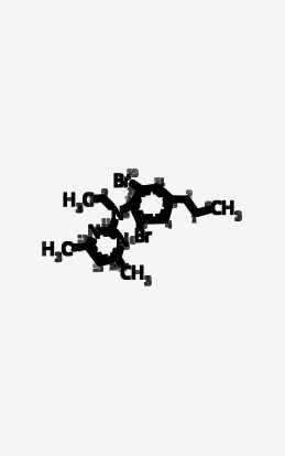 CCCc1cc(Br)c(N(CC)c2nc(C)cc(C)n2)c(Br)c1